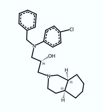 O[C@H](CN1CC[C@@H]2CCCC[C@@H]2C1)CN(Cc1ccccc1)c1ccc(Cl)cc1